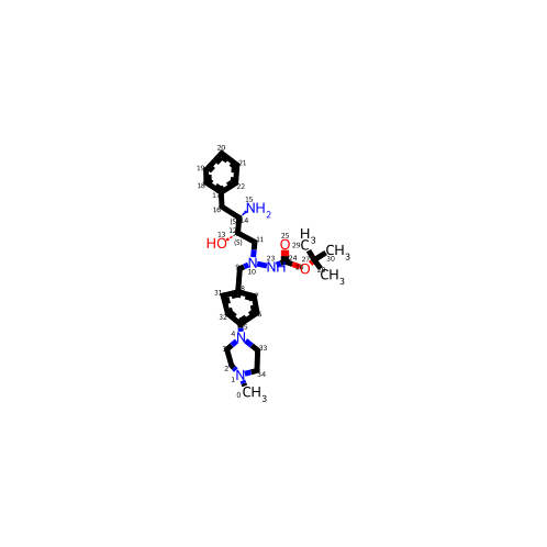 CN1CCN(c2ccc(CN(C[C@H](O)[C@@H](N)Cc3ccccc3)NC(=O)OC(C)(C)C)cc2)CC1